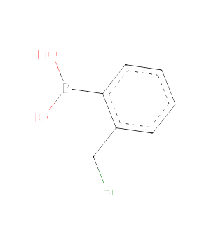 OB(O)c1ccccc1CBr